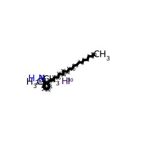 CCCCCCCCCCCCCCCCCCCCc1ccccc1C(C)(C)N.I